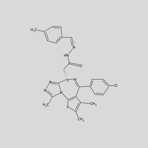 Cc1ccc(/C=N\NC(=O)C[C@@H]2N=C(c3ccc(Cl)cc3)c3c(sc(C)c3C)-n3c(C)nnc32)cc1